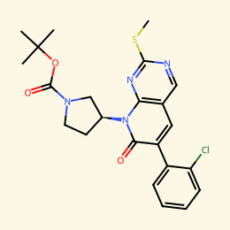 CSc1ncc2cc(-c3ccccc3Cl)c(=O)n([C@H]3CCN(C(=O)OC(C)(C)C)C3)c2n1